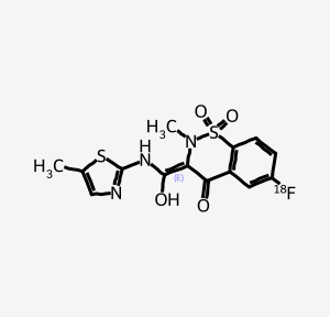 Cc1cnc(N/C(O)=C2/C(=O)c3cc([18F])ccc3S(=O)(=O)N2C)s1